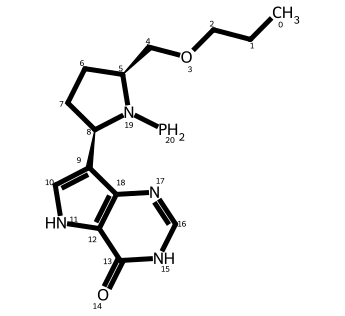 CCCOC[C@@H]1CC[C@H](c2c[nH]c3c(=O)[nH]cnc23)N1P